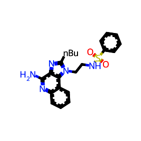 CCCCc1nc2c(N)nc3ccccc3c2n1CCNS(=O)(=O)c1ccccc1